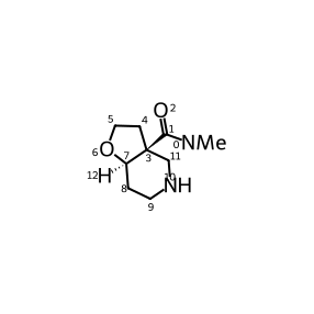 CNC(=O)[C@]12CCO[C@@H]1CCNC2